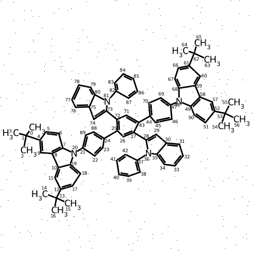 CC(C)(C)c1ccc2c(c1)c1cc(C(C)(C)C)ccc1n2-c1ccc(-c2cc(-c3cc4ccccc4n3-c3ccccc3)c(-c3ccc(-n4c5ccc(C(C)(C)C)cc5c5cc(C(C)(C)C)ccc54)cc3)cc2-c2cc3ccccc3n2-c2ccccc2)cc1